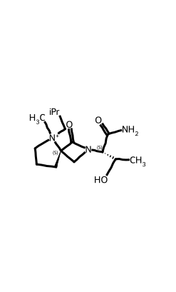 CC(C)C[N+]1(C)CCC[C@@]12CN([C@H](C(N)=O)C(C)O)C2=O